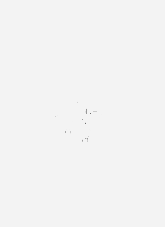 CCOC(OCC)C(=O)N(N)C(=O)c1ccccc1